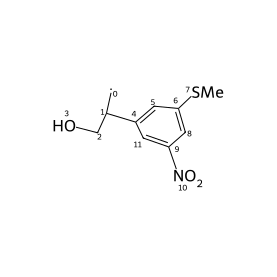 [CH2]C(CO)c1cc(SC)cc([N+](=O)[O-])c1